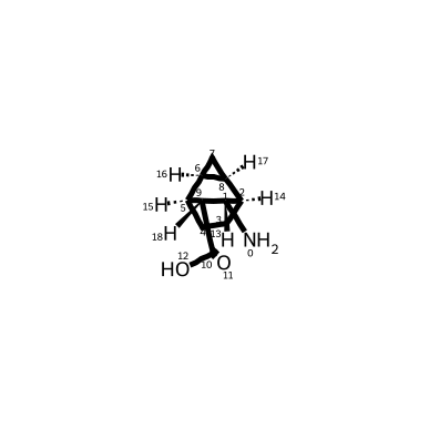 N[C@H]1[C@@H]2CC[C@@H]([C@H]3C[C@H]32)[C@H]1C(=O)O